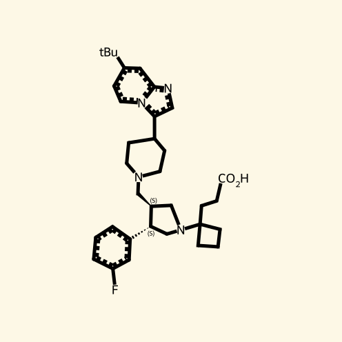 CC(C)(C)c1ccn2c(C3CCN(C[C@H]4CN(C5(CCC(=O)O)CCC5)C[C@@H]4c4cccc(F)c4)CC3)cnc2c1